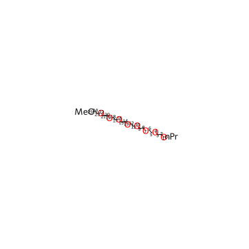 CCCOCCOCCOCCOCCOCCOCCOCCOCCOC